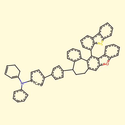 C1=CCCC(N(c2ccccc2)c2ccc(-c3ccc(C4CCc5cc6oc7ccccc7c6c(-c6cccc7c6sc6ccccc67)c5-c5ccccc54)cc3)cc2)=C1